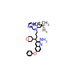 Cn1ccnc1CN(CCCC(c1cc2cc(Oc3ccccc3)ccc2nc1N)C1CCOCC1)CCC(C)(C)C